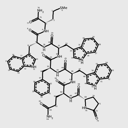 CSCC[C@H](NC(=O)[C@@H](Cc1c[nH]c2ccccc12)NC(=O)[C@@H](Cc1c[nH]c2ccccc12)NC(=O)[C@H](Cc1ccccc1)NC(=O)[C@@H](Cc1c[nH]c2ccccc12)NC(=O)[C@H](CCC(N)=O)NC(=O)[C@@H]1CCC(=O)N1)C(N)=O